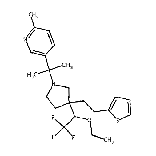 CCOC(C(F)(F)F)[C@]1(CCc2cccs2)CCN(C(C)(C)c2ccc(C)nc2)C1